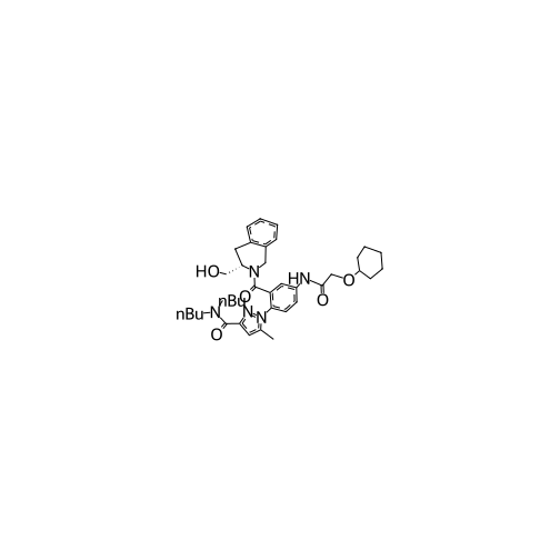 CCCCN(CCCC)C(=O)c1cc(C)n(-c2ccc(NC(=O)COC3CCCCC3)cc2C(=O)N2Cc3ccccc3C[C@H]2CO)n1